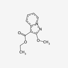 CCOC(=O)c1c(OC)nn2ccccc12